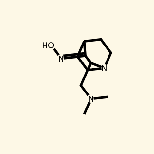 CN(C)CC1C(=NO)C2CCN1CC2